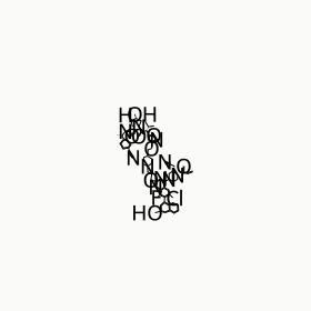 C=CC(=O)N1CCN(c2nc(OCCN3CCC(COc4cc([C@H](C(=O)N5C[C@H](O)C[C@H]5C(=O)N[C@@H](C)c5ccc(C#N)cc5)C(C)C)on4)CC3)nc3c(F)c(-c4cc(O)cc5ccccc45)c(Cl)cc23)C[C@@H]1CC#N